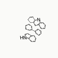 C1=Cc2nc3ccccc3cc2CC1.c1ccc(-c2ccccc2)cc1.c1ccc2[nH]ccc2c1